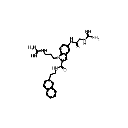 N=C(N)NCCCn1c(C(=O)NCCc2ccc3ccccc3c2)cc2cc(NC(=O)CNC(=N)N)ccc21